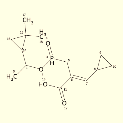 CC(O[PH](=O)CC(=CC1CC1)C(=O)O)C1CC1(C)C